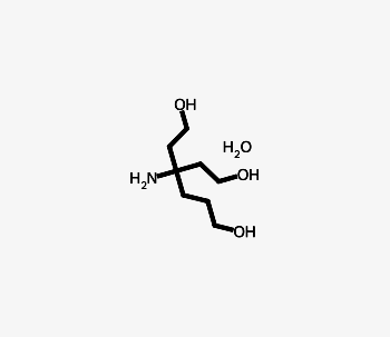 NC(CCO)(CCO)CCCO.O